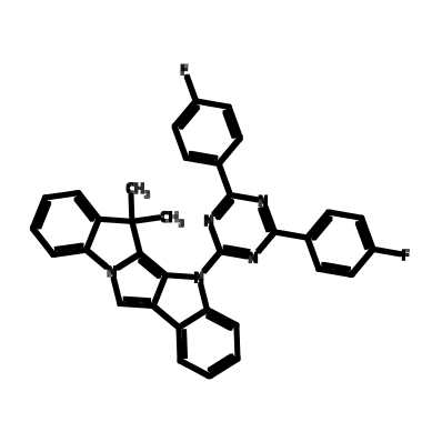 CC1(C)c2ccccc2-n2cc3c4ccccc4n(-c4nc(-c5ccc(F)cc5)nc(-c5ccc(F)cc5)n4)c3c21